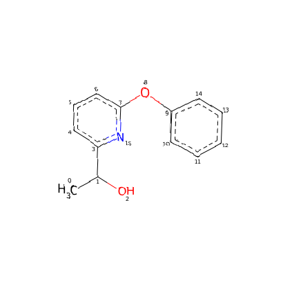 CC(O)c1cccc(Oc2ccccc2)n1